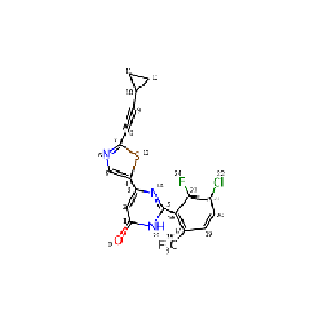 O=c1cc(-c2cnc(C#CC3CC3)s2)nc(-c2c(C(F)(F)F)ccc(Cl)c2F)[nH]1